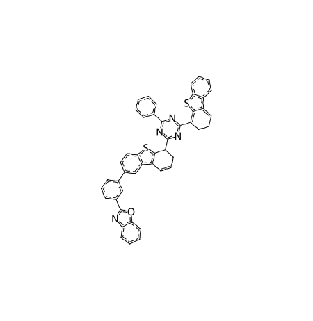 C1=Cc2c(sc3ccc(-c4cccc(-c5nc6ccccc6o5)c4)cc23)C(c2nc(C3=c4sc5ccccc5c4=CCC3)nc(-c3ccccc3)n2)C1